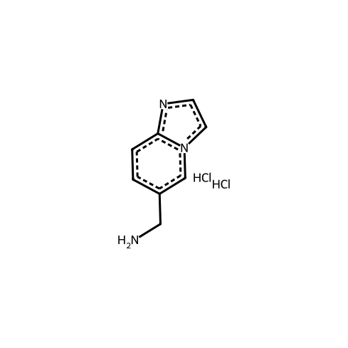 Cl.Cl.NCc1ccc2nccn2c1